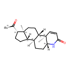 CC[C@H](C)C(=O)[C@H]1CC[C@H]2[C@@H]3CC[C@H]4NC(=O)C=C[C@]4(C)[C@H]3CC[C@]12C